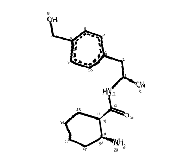 N#CC(Cc1ccc(CO)cc1)NC(=O)[C@@H]1CCCC[C@@H]1N